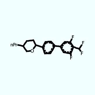 CCCC1CCC(c2ccc(-c3cc(F)c(C(F)F)c(F)c3)cc2)OC1